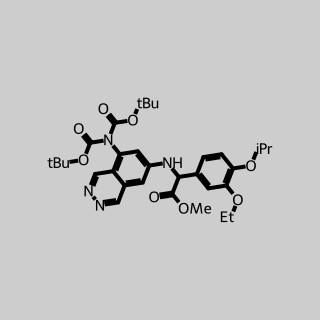 CCOc1cc(C(Nc2cc(N(C(=O)OC(C)(C)C)C(=O)OC(C)(C)C)c3cnncc3c2)C(=O)OC)ccc1OC(C)C